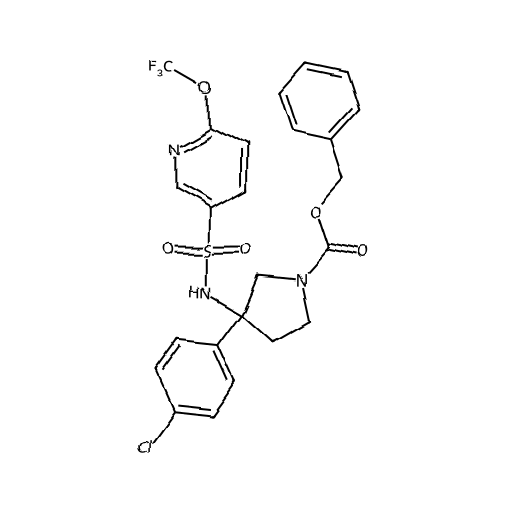 O=C(OCc1ccccc1)N1CCC(NS(=O)(=O)c2ccc(OC(F)(F)F)nc2)(c2ccc(Cl)cc2)C1